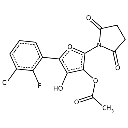 CC(=O)Oc1c(N2C(=O)CCC2=O)oc(-c2cccc(Cl)c2F)c1O